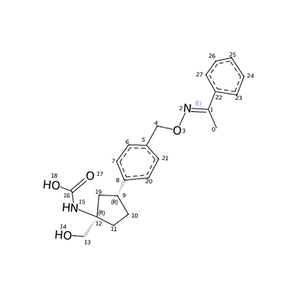 C/C(=N\OCc1ccc([C@@H]2CC[C@@](CO)(NC(=O)O)C2)cc1)c1ccccc1